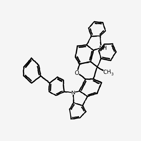 CC1(c2ccccc2)c2ccc3c4ccccc4n(-c4ccc(-c5ccccc5)cc4)c3c2Oc2ccc3c([nH]c4ccccc43)c21